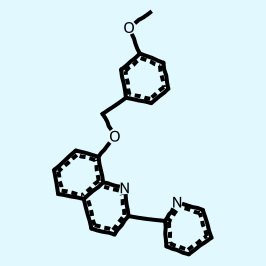 COc1cccc(COc2cccc3ccc(-c4ccccn4)nc23)c1